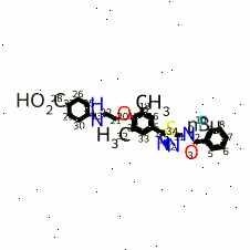 CCCCN(C(=O)c1ccccc1F)c1nnc(-c2cc(C)c(OCCN[C@H]3CC[C@@H](C(=O)O)CC3)c(C)c2)s1